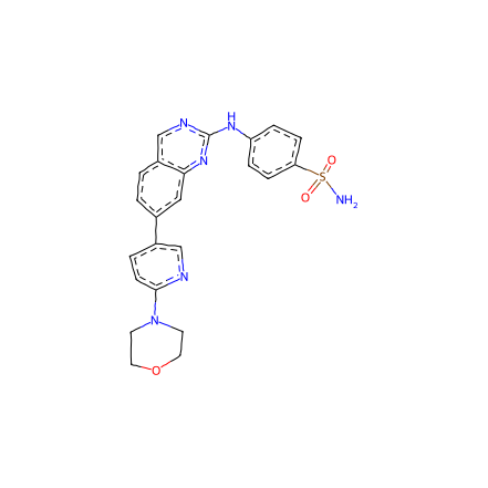 NS(=O)(=O)c1ccc(Nc2ncc3ccc(-c4ccc(N5CCOCC5)nc4)cc3n2)cc1